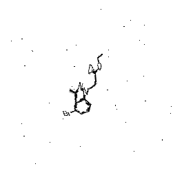 CCOC(=O)Cn1nc(C)c2c(Br)cccc21